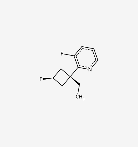 CC[C@]1(c2ncccc2F)C[C@H](F)C1